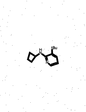 CC(C)(C)c1cccnc1NC1CCC1